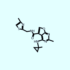 Cc1csc(CNC(=O)c2coc3nc(C)nc(NC4(C)CC4)c23)n1